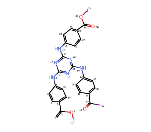 C=C(OI)c1ccc(Nc2nc(Nc3ccc(C(=O)I)cc3)nc(Nc3ccc(C(=O)OI)cc3)n2)cc1